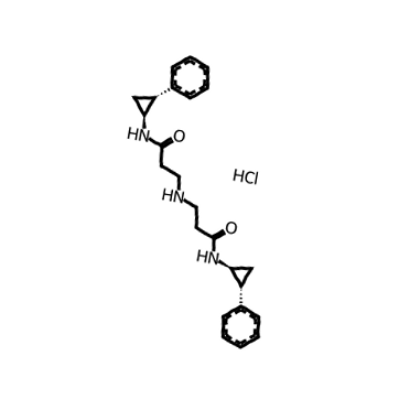 Cl.O=C(CCNCCC(=O)N[C@H]1C[C@@H]1c1ccccc1)N[C@H]1C[C@@H]1c1ccccc1